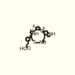 CN1CCSCCC(C)(c2cccc(CCC(=O)O)c2)c2cnc([nH]2)-c2cc(ccc2F)Oc2c(F)cc3[nH]ccc3c2CCC1=O